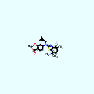 COc1cc(N(CC2CC2)c2nc3c(s2)C(C)(C)CCC3(C)C)ccc1C(=O)O